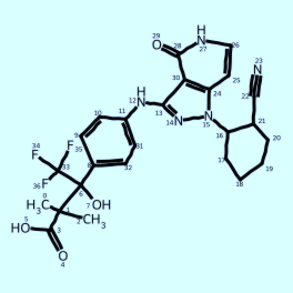 CC(C)(C(=O)O)C(O)(c1ccc(Nc2nn(C3CCCCC3C#N)c3cc[nH]c(=O)c23)cc1)C(F)(F)F